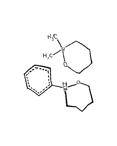 C[Si]1(C)CCCCO1.c1ccc([SiH]2CCCCO2)cc1